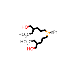 CCCP(CCCC(CO)CC(=O)O)CCCC(CO)CC(=O)O